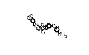 Cn1c(C(=O)N2CCN(Cc3ccc4c(c3)OCO4)CC2)cc2cc(Oc3ccc(N)cn3)ccc21